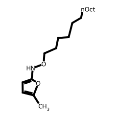 CCCCCCCCCCCCCCONc1ccc(C)o1